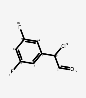 O=CC(Cl)c1cc(F)cc(F)c1